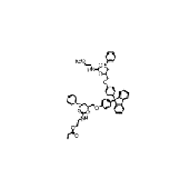 C=CC(=O)OCCNC(=O)OC(COc1ccc(C2(c3ccc(OCC(CSc4ccccc4)OC(=O)NCCOC(C)=O)cc3)c3ccccc3-c3ccccc32)cc1)CSc1ccccc1